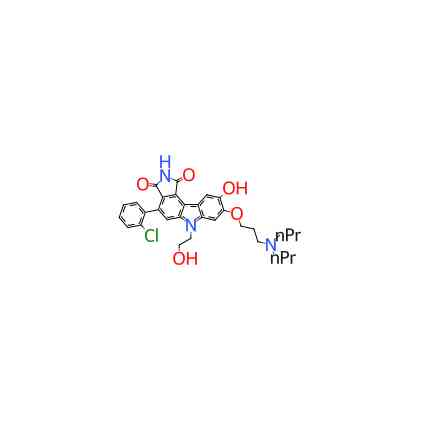 CCCN(CCC)CCCOc1cc2c(cc1O)c1c3c(c(-c4ccccc4Cl)cc1n2CCO)C(=O)NC3=O